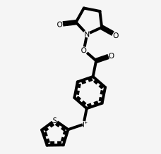 O=C(ON1C(=O)CCC1=O)c1ccc([I+]c2cccs2)cc1